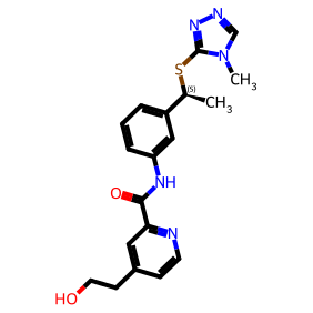 C[C@H](Sc1nncn1C)c1cccc(NC(=O)c2cc(CCO)ccn2)c1